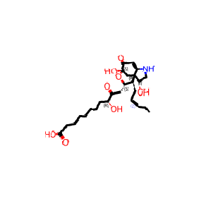 CC/C=C\C[C@H]1[C@H](CC(=O)[C@H](O)CCCCCCCC(=O)O)O[C@@]2(O)CC13C(=CC2=O)NC[C@@H]3O